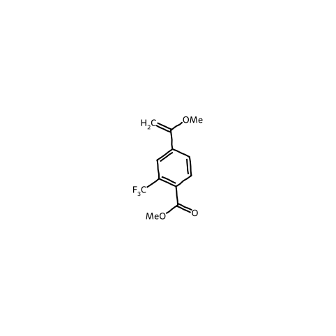 C=C(OC)c1ccc(C(=O)OC)c(C(F)(F)F)c1